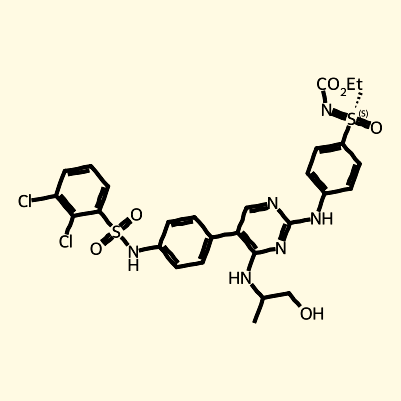 CCOC(=O)N=[S@@](C)(=O)c1ccc(Nc2ncc(-c3ccc(NS(=O)(=O)c4cccc(Cl)c4Cl)cc3)c(NC(C)CO)n2)cc1